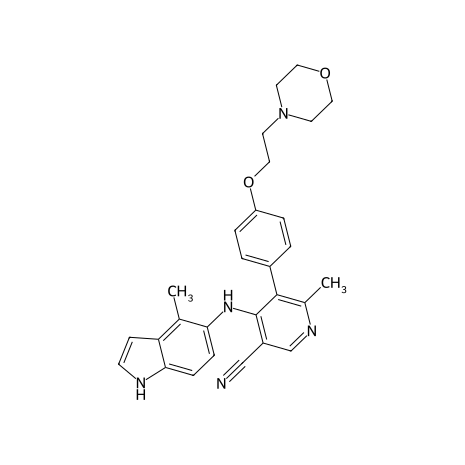 Cc1ncc(C#N)c(Nc2ccc3[nH]ccc3c2C)c1-c1ccc(OCCN2CCOCC2)cc1